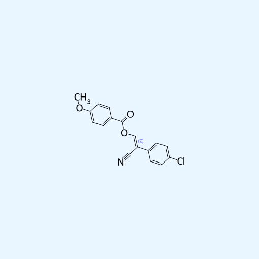 COc1ccc(C(=O)O/C=C(\C#N)c2ccc(Cl)cc2)cc1